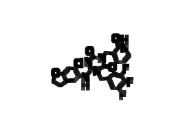 O=c1[nH]cccc1Cn1c(=O)nc(Nc2cc3c(cc2Cl)OCC3)n(Cc2cc(F)c(F)c(F)c2)c1=O